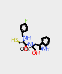 O=C[C@](CO)(Cc1c[nH]c2ccccc12)NC(=O)[C@H](CS)NCc1ccc(F)cc1